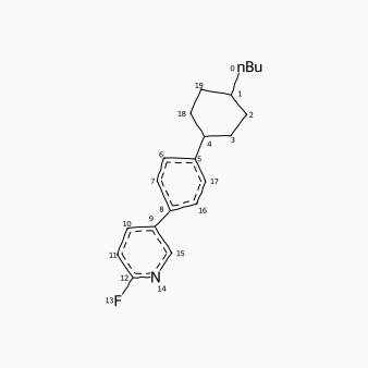 CCCCC1CCC(c2ccc(-c3ccc(F)nc3)cc2)CC1